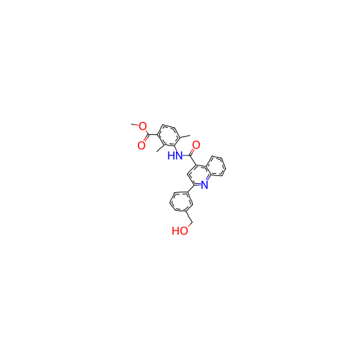 COC(=O)c1ccc(C)c(NC(=O)c2cc(-c3cccc(CO)c3)nc3ccccc23)c1C